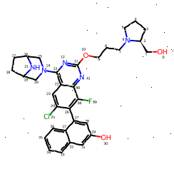 OC[C@@H]1CCCN1CCCOc1nc(N2CC3CCC(C2)N3)c2cc(Cl)c(-c3cc(O)cc4ccccc34)c(F)c2n1